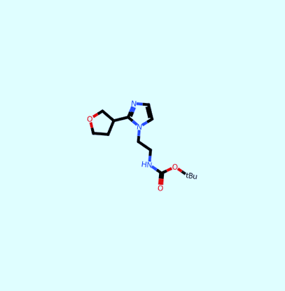 CC(C)(C)OC(=O)NCCn1ccnc1C1CCOC1